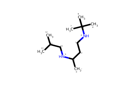 [CH2]C(CCNC(C)(C)C)NCC(C)C